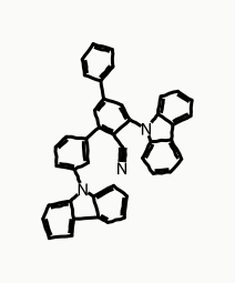 N#Cc1c(-c2cccc(-n3c4ccccc4c4ccccc43)c2)cc(-c2ccccc2)cc1-n1c2ccccc2c2ccccc21